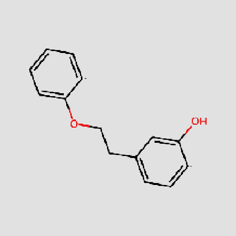 Oc1[c]ccc(CCOc2[c]cccc2)c1